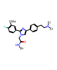 CCN(CC)CCc1ccc(-c2cn(CC(=O)NC(C)C)c(-c3ccc(F)c(OC)c3)n2)cc1